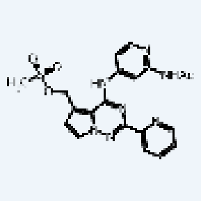 CC(=O)Nc1cc(Nc2nc(-c3ccccn3)nn3ccc(COS(C)(=O)=O)c23)ccn1